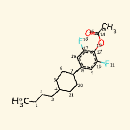 CCCCC1CCC(c2cc(F)c(OC(C)=O)c(F)c2)CC1